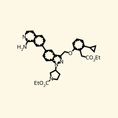 CCOC(=O)Cc1c(OCc2nn(C3CCN(C(=O)OCC)C3)c3ccc(-c4ccc5ccnc(N)c5c4)cc23)cccc1C1CC1